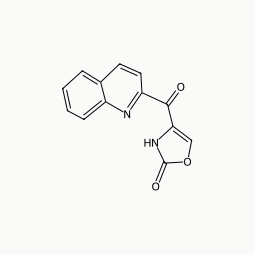 O=C(c1ccc2ccccc2n1)c1coc(=O)[nH]1